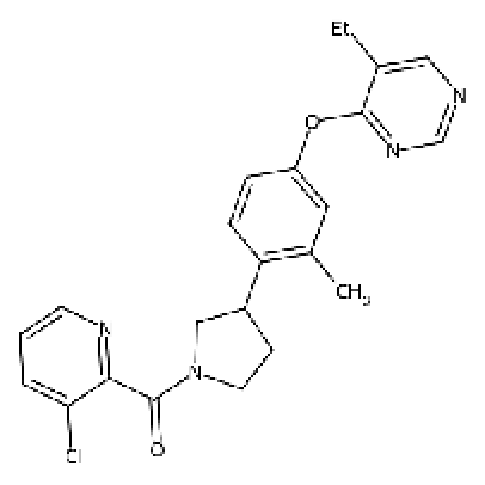 CCc1cncnc1Oc1ccc(C2CCN(C(=O)c3ncccc3Cl)C2)c(C)c1